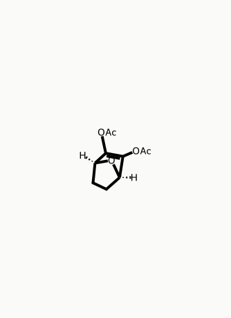 CC(=O)OC1=C(OC(C)=O)[C@H]2CC[C@@H]1O2